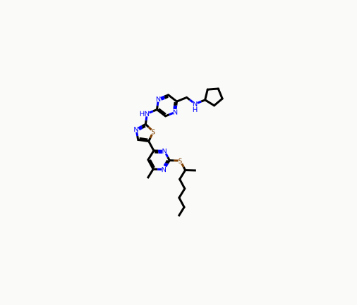 CCCCCC(C)Sc1nc(C)cc(-c2cnc(Nc3cnc(CNC4CCCC4)cn3)s2)n1